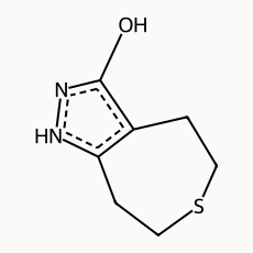 Oc1n[nH]c2c1CCSCC2